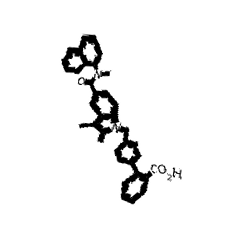 Cc1c(C)n(Cc2ccc(-c3ccccc3C(=O)O)cc2)c2ccc(C(=O)N(C)c3cccc4ccccc34)cc12